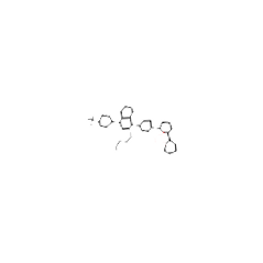 C/C=C\C=C/c1cc(-c2ccc(C(C)(C)C)cc2)c2ccccc2c1-c1ccc(-c2cccc3c2oc2ccccc23)cc1